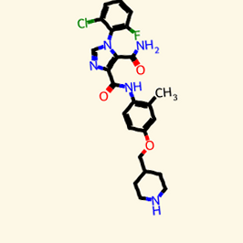 Cc1cc(OCC2CCNCC2)ccc1NC(=O)c1ncn(-c2c(F)cccc2Cl)c1C(N)=O